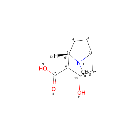 CN1C2CC[C@H]1C(C(=O)O)C(O)C2